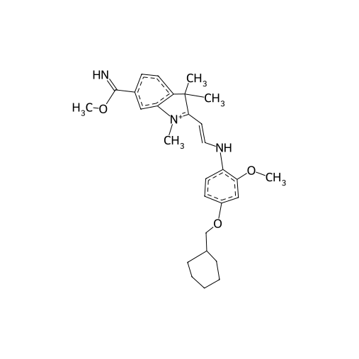 COC(=N)c1ccc2c(c1)[N+](C)=C(C=CNc1ccc(OCC3CCCCC3)cc1OC)C2(C)C